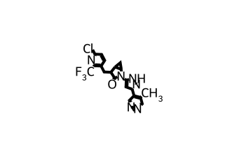 Cc1cnncc1-c1cc(N2C(=O)C(Cc3ccc(Cl)nc3C(F)(F)F)C3CC32)[nH]n1